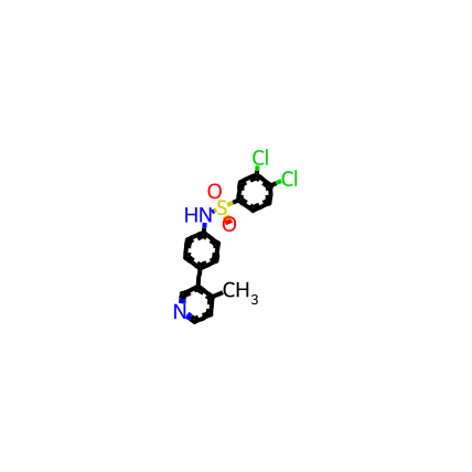 Cc1ccncc1-c1ccc(NS(=O)(=O)c2ccc(Cl)c(Cl)c2)cc1